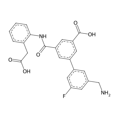 NCc1cc(F)cc(-c2cc(C(=O)O)cc(C(=O)Nc3ccccc3CC(=O)O)c2)c1